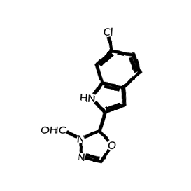 O=CN1N=COC1c1cc2ccc(Cl)cc2[nH]1